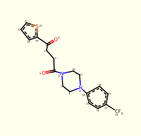 O=C(CCC(=O)N1CCN(c2ccc(C(F)(F)F)cc2)CC1)c1cccs1